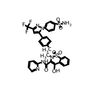 CN1C(C(=O)Nc2ccccn2)=C(O)c2ccccc2S1(=O)=O.Cc1ccc(-c2cc(C(F)(F)F)nn2-c2ccc(S(N)(=O)=O)cc2)cc1